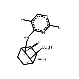 O=C(O)[C@H]1C2CCC(CC2)[C@@H]1Nc1nc(Cl)ncc1F